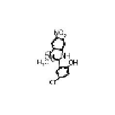 CO.O=C(Nc1ccc([N+](=O)[O-])cc1Cl)c1cc(Cl)ccc1O